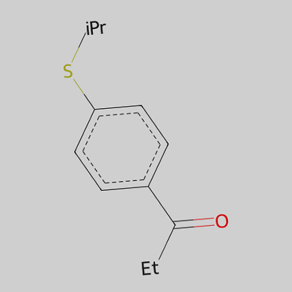 CCC(=O)c1ccc(SC(C)C)cc1